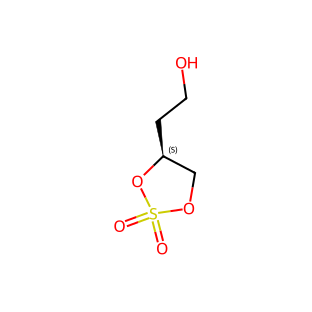 O=S1(=O)OC[C@H](CCO)O1